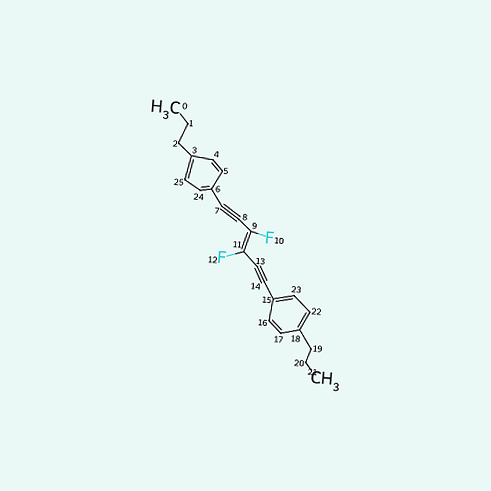 CCCc1ccc(C#C/C(F)=C(\F)C#Cc2ccc(CCC)cc2)cc1